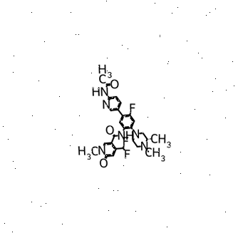 CC(=O)Nc1ccc(-c2cc(NC(=O)c3cn(C)c(=O)cc3C(F)F)c(N3CCN(C)[C@@H](C)C3)cc2F)cn1